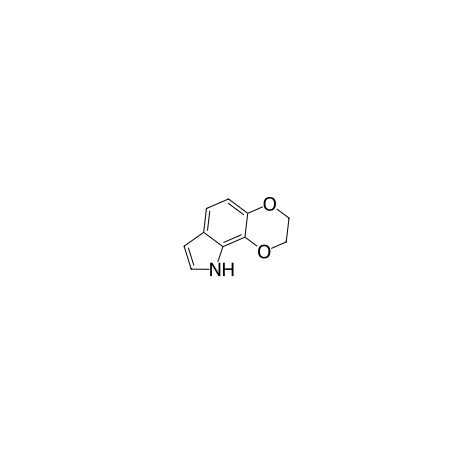 c1cc2ccc3c(c2[nH]1)OCCO3